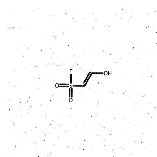 O=S(=O)(F)C=CO